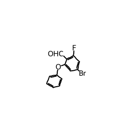 O=Cc1c(F)cc(Br)cc1Oc1ccccc1